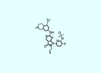 C=CCn1c(=O)c2cnc(Nc3cc4c(c(C5CC5)c3)CCN(C)C4)nc2n1-c1ccc(F)c(N=S(C)(C)=O)n1